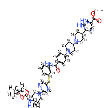 CCOC(=O)C(=N)/C=C\C(=N)C1=CCN(C2CCN(c3ccc(C(=O)Nc4cccc(Sc5cnc(N6CCC(C)(NC(=O)OC(C)(C)C)CC6)cn5)c4)cc3)CC2)CC1